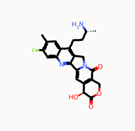 Cc1cc2c(CC[C@@H](C)N)c3c(nc2cc1F)-c1cc2c(c(=O)n1C3)COC(=O)[C@H]2O